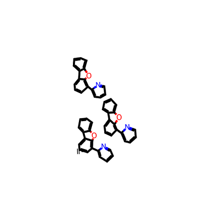 [Ir+3].c1ccc(-c2cccc3c2oc2ccccc23)nc1.c1ccc(-c2cccc3c2oc2ccccc23)nc1.c1ccc(-c2cccc3c2oc2ccccc23)nc1